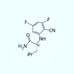 CC(C)C[C@@H](Nc1cc(F)cc(F)c1C#N)C(N)=O